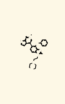 Cn1cc(-c2ccc3c([nH]c(=O)n3CCN3CCOCC3)c2Oc2ccccc2)c2cc[nH]c2c1=O